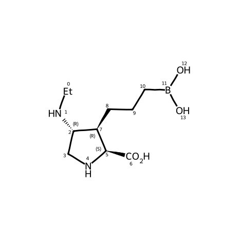 CCN[C@H]1CN[C@H](C(=O)O)[C@@H]1CCCB(O)O